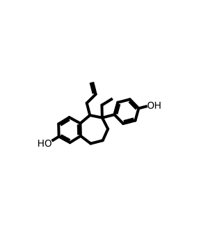 C=CCC1c2ccc(O)cc2CCCC1(CC)c1ccc(O)cc1